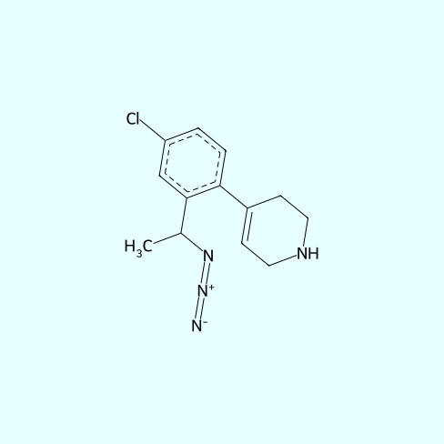 CC(N=[N+]=[N-])c1cc(Cl)ccc1C1=CCNCC1